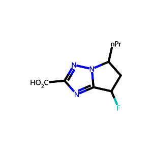 CCCC1CC(F)c2nc(C(=O)O)nn21